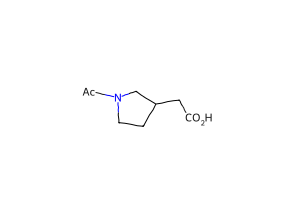 CC(=O)N1CCC(CC(=O)O)C1